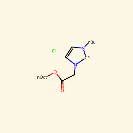 CCCCCCCCOC(=O)CN1[C+]N(CCCC)C=C1.[Cl-]